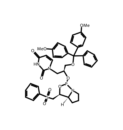 COc1ccc(C(OC[C@H](Cn2ccc(=O)[nH]c2=O)O[P@]2O[C@H](CS(=O)(=O)c3ccccc3)[C@@H]3CCCN32)(c2ccccc2)c2ccc(OC)cc2)cc1